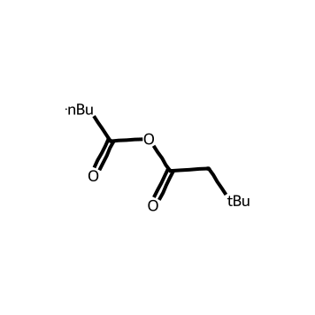 CCC[CH]C(=O)OC(=O)CC(C)(C)C